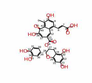 Cc1c(O)cc(/C=C/C(=O)O)c2cc(C(=O)O[C@@H]3Cc4c(O)cc(O)cc4O[C@@H]3c3ccc(O)c(O)c3)cc(O)c(=O)c12